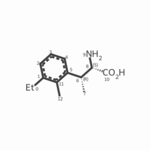 CCc1cccc([C@@H](C)[C@H](N)C(=O)O)c1C